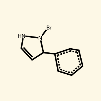 BrN1NC=CC1c1ccccc1